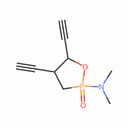 C#CC1CP(=O)(N(C)C)OC1C#C